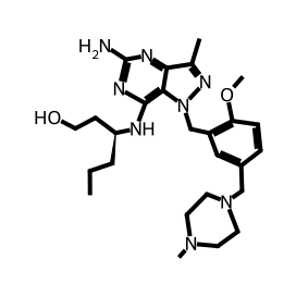 CCC[C@@H](CCO)Nc1nc(N)nc2c(C)nn(Cc3cc(CN4CCN(C)CC4)ccc3OC)c12